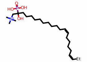 CC/C=C\CCCC/C=C\CCCCCCCCCCC(O)(C[N+](C)(C)C)P(=O)(O)O